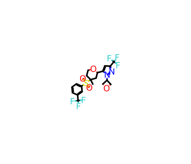 CC1(S(=O)(=O)c2cccc(C(F)(F)F)c2)CCOC(c2cc(C(F)(F)F)nn2C2COC2)C1